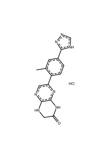 Cc1cc(-c2nnc[nH]2)ccc1-c1cnc2c(n1)NC(=O)CN2.Cl